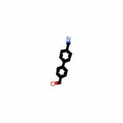 N#Cc1ccc(-c2ccc([C]=O)cc2)cc1